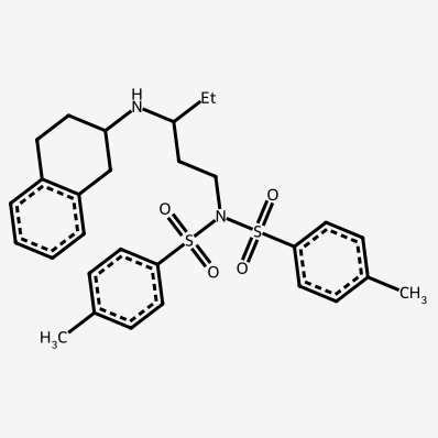 CCC(CCN(S(=O)(=O)c1ccc(C)cc1)S(=O)(=O)c1ccc(C)cc1)NC1CCc2ccccc2C1